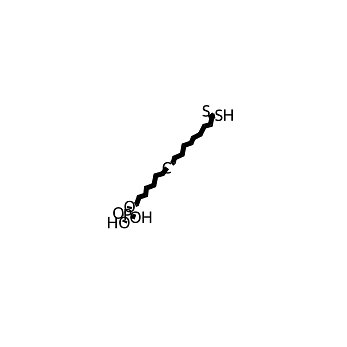 O=P(O)(O)OCCCCCCCCCCCCCCCCCC(=S)S